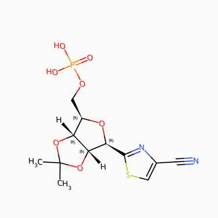 CC1(C)O[C@@H]2[C@H](O1)[C@@H](COP(=O)(O)O)O[C@H]2c1nc(C#N)cs1